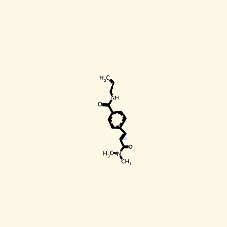 C=CCNC(=O)c1ccc(/C=C/C(=O)N(C)C)cc1